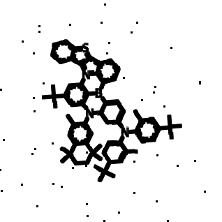 CC1=CC(C(C)(C)C)CC=C1N(C1=CC=C2B3c4c(cc(C(C)(C)C)cc4-n4c5c3cccc5c3sc5ccccc5c34)N(c3cc4c(cc3C)C(C)(C)CCC4(C)C)C2C1)c1ccc(C(C)(C)C)cc1C